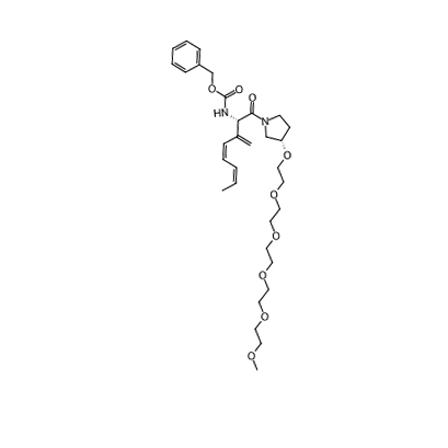 C=C(/C=C\C=C/C)[C@H](NC(=O)OCc1ccccc1)C(=O)N1CC[C@H](OCCOCCOCCOCCOCCOC)C1